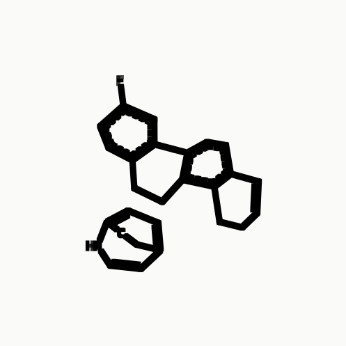 C1=CC2=CC=C(CC2)N1.Fc1ccc2c(c1)-c1ccc3c(c1CC2)CCC=C3